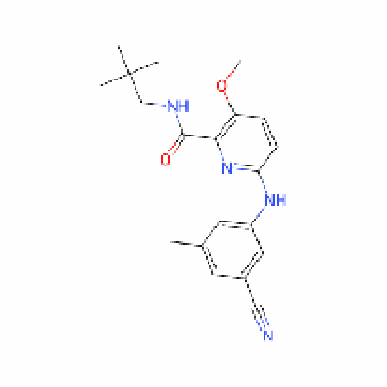 COc1ccc(Nc2cc(C)cc(C#N)c2)nc1C(=O)NCC(C)(C)C